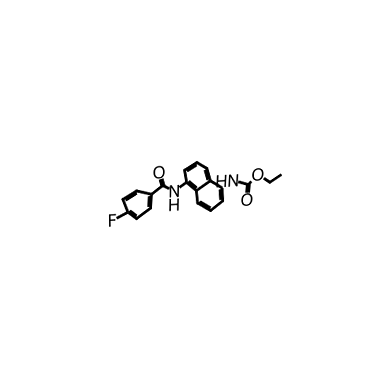 CCOC(=O)Nc1cccc2c(NC(=O)c3ccc(F)cc3)cccc12